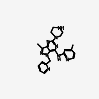 Cc1ccnc(Nc2nc(N3CCNCC3)nc3c(C)nn(Cc4ccccn4)c23)c1